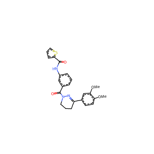 COc1ccc(C2=NN(C(=O)c3cccc(NC(=O)c4cccs4)c3)CCC2)cc1OC